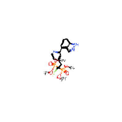 CC(C)OP(=O)(OC(C)C)C(F)(Cc1ccnc(-c2cccc3[nH]ncc23)c1)P(=O)(OC(C)C)OC(C)C